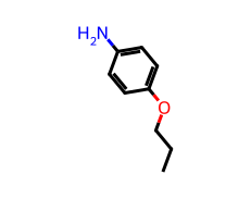 CCCOc1ccc(N)cc1